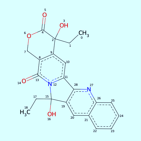 CCC1(O)C(=O)OCc2c1cc1n(c2=O)C(O)(CC)c2cc3ccccc3nc2-1